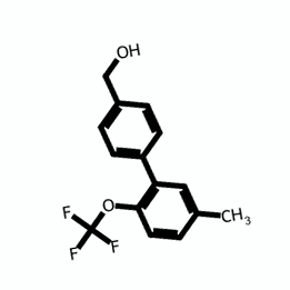 Cc1ccc(OC(F)(F)F)c(-c2ccc(CO)cc2)c1